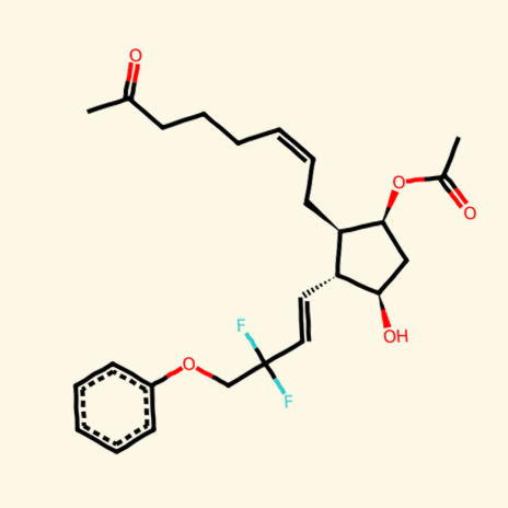 CC(=O)CCC/C=C\C[C@@H]1[C@@H](/C=C/C(F)(F)COc2ccccc2)[C@H](O)C[C@@H]1OC(C)=O